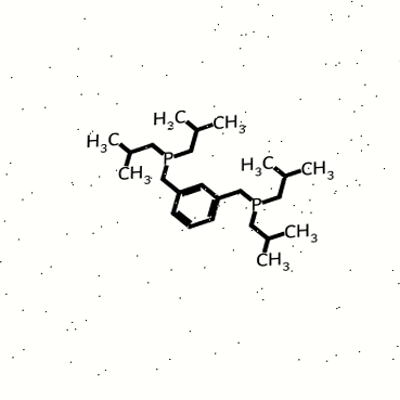 CC(C)CP(Cc1cccc(CP(CC(C)C)CC(C)C)c1)CC(C)C